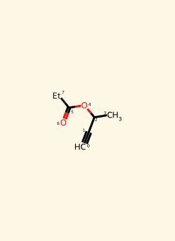 C#CC(C)OC(=O)C[CH2]